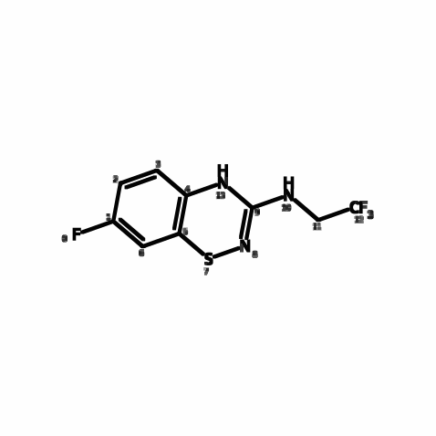 Fc1ccc2c(c1)SN=C(NCC(F)(F)F)N2